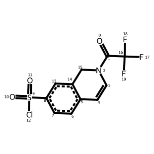 O=C(N1C=Cc2ccc(S(=O)(=O)Cl)cc2C1)C(F)(F)F